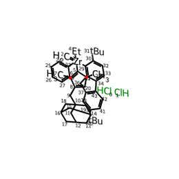 Cl.Cl.[CH2]=[Zr]([CH2]C)([C]1=C(C)C(CC23CC4CC(CC(C4)C2)C3)=CC1C)([c]1ccccc1)[c]1c(C(C)(C)C)ccc2c1Cc1cc(C(C)(C)C)ccc1-2